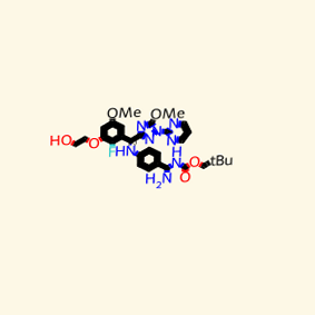 [CH2]Oc1nc([C@H](Nc2ccc(C(N)NC(=O)OCC(C)(C)C)cc2)c2cc(OC)cc(OCCO)c2F)nn1-c1ncccn1